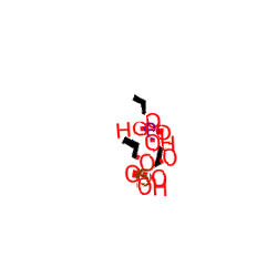 C1CO1.C=CCOP(=O)(O)O.C=CCOS(=O)(=O)O